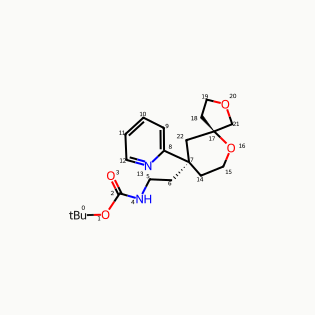 CC(C)(C)OC(=O)NCC[C@@]1(c2ccccn2)CCO[C@]2(CCOC2)C1